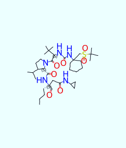 CCCC[C@@](C=O)(CC(=O)NC1CC1)NC(=O)[C@@H]1C(C(C)C)CCN1C(=O)[C@@H](NC(=O)NC1(CS(=O)(=O)C(C)(C)C)CCCCC1)C(C)(C)C